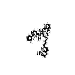 Cc1ncccc1OCCN(CCCCc1ccc2c(n1)NCCC2)CCC(Nc1ccnc(-c2ccccc2)n1)C(=O)O